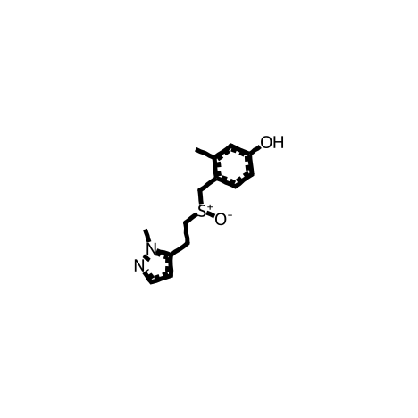 Cc1cc(O)ccc1C[S+]([O-])CCc1ccnn1C